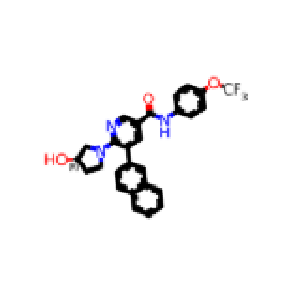 O=C(Nc1ccc(OC(F)(F)F)cc1)c1cnc(N2CC[C@@H](O)C2)c(-c2ccc3ccccc3c2)c1